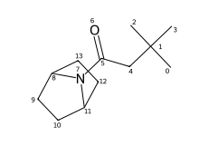 CC(C)(C)CC(=O)N1C2CCC1CC2